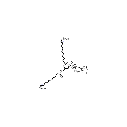 CCCCCCCCC/C=C/CCCCCCCC(=O)OCC(COP(=O)(O)OCC[N+](C)(C)C)OC(=O)CCCCCCC/C=C/CCCCCCCCC